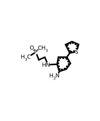 CP(C)(=O)CCNc1cc(-c2cccs2)ccc1N